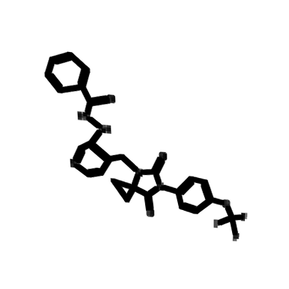 O=C(NNc1cnccc1CN1C(=O)N(c2ccc(OC(F)(F)F)cc2)C(=O)C12CC2)c1ccccc1